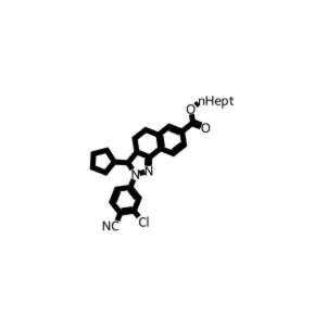 CCCCCCCOC(=O)c1ccc2c(c1)CCC1C2=NN(c2ccc(C#N)c(Cl)c2)C1C1CCCC1